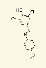 COc1ccc(N=Nc2cc(Cl)c(O)c(Cl)c2)cc1